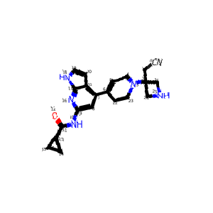 N#CCC1(N2CC=C(c3cc(NC(=O)C4CC4)nc4[nH]ccc34)CC2)CNC1